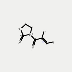 C/C=C(\C)C(=O)N1CCOC1=O